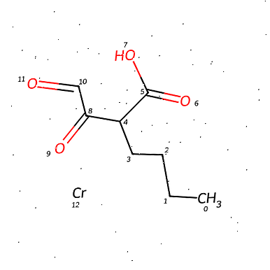 CCCCC(C(=O)O)C(=O)C=O.[Cr]